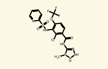 CN1NNN=C1NC(=O)c1ccc(OC(F)(F)F)c(NS(=O)(=O)c2ccccn2)c1Cl